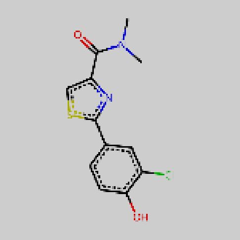 CN(C)C(=O)c1csc(-c2ccc(O)c(Cl)c2)n1